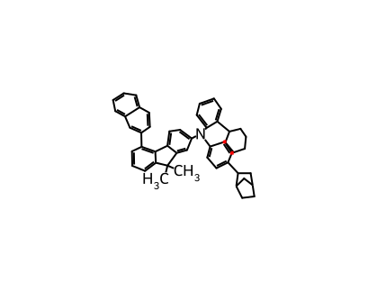 CC1(C)c2cc(N(c3ccc(C4CC5CCC4C5)cc3)c3ccccc3C3CCCCC3)ccc2-c2c(-c3ccc4ccccc4c3)cccc21